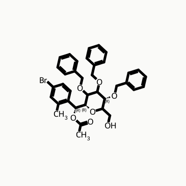 CC(=O)O[C@H](c1ccc(Br)cc1C)[C@H]1OC(CO)[C@@H](OCc2ccccc2)C(OCc2ccccc2)C1OCc1ccccc1